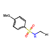 COc1ccc(S(=O)(=O)NCC(C)=O)cc1